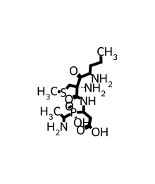 CCC[C@H](N)C(=O)[C@](N)(CSC)C(=O)NC(CC(=O)O)P(=O)(O)C(C)N